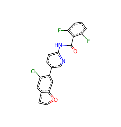 O=C(Nc1ccc(-c2cc3occc3cc2Cl)cn1)c1c(F)cccc1F